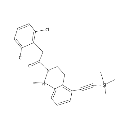 C[C@H]1c2cccc(C#C[Si](C)(C)C)c2CCN1C(=O)Cc1c(Cl)cccc1Cl